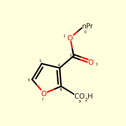 CCCOC(=O)c1ccoc1C(=O)O